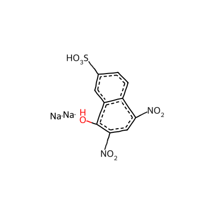 O=[N+]([O-])c1cc([N+](=O)[O-])c2ccc(S(=O)(=O)O)cc2c1O.[Na].[Na]